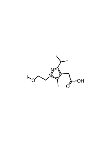 Cc1c(CC(=O)O)c(C(C)C)nn1CCOI